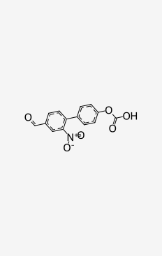 O=Cc1ccc(-c2ccc(OC(=O)O)cc2)c([N+](=O)[O-])c1